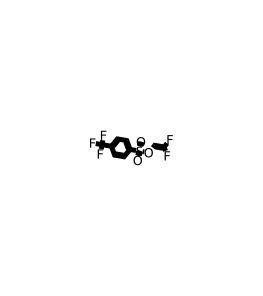 O=S(=O)(OC=C(F)F)c1ccc(C(F)(F)F)cc1